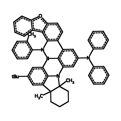 Cc1ccccc1N1B2c3cc(C(C)(C)C)cc4c3N(c3cc(N(c5ccccc5)c5ccccc5)cc(c32)-c2ccc3oc5ccccc5c3c21)C1(C)CCCCC41C